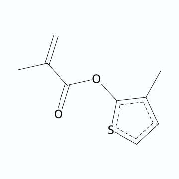 C=C(C)C(=O)Oc1sccc1C